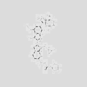 COc1cc(C(=O)N2[C@H]3CC[C@@H]2[C@H](N)C3)cc2nc(-c3cc4ccc(C(C)CC(=O)N5CCCC5)nc4n3CC3CC3)c(C)n12